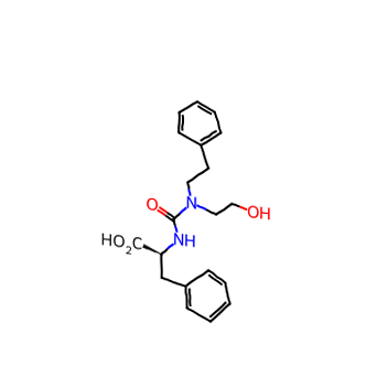 O=C(O)[C@H](Cc1ccccc1)NC(=O)N(CCO)CCc1ccccc1